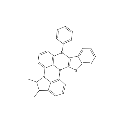 CC1c2cccc3c2N(c2cccc4c2B3c2sc3ccccc3c2N4c2ccccc2)C1C